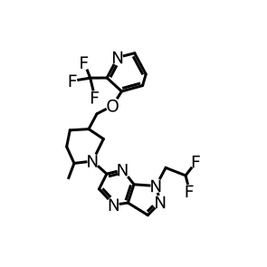 CC1CCC(COc2cccnc2C(F)(F)F)CN1c1cnc2cnn(CC(F)F)c2n1